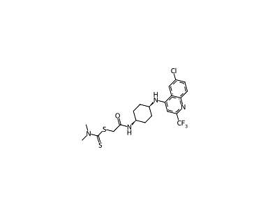 CN(C)C(=S)SCC(=O)N[C@H]1CC[C@@H](Nc2cc(C(F)(F)F)nc3ccc(Cl)cc23)CC1